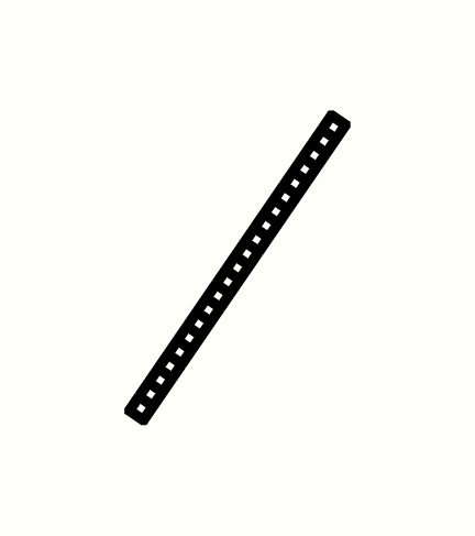 C1CC2C1C1C2C2C1C1C2C2C1C1C2C2C1C1C2C2C1C1C2C2C3C4C5C6C7C8C9C%10C%11CCC%11C%10C9C8C7C6C5C4C3C12